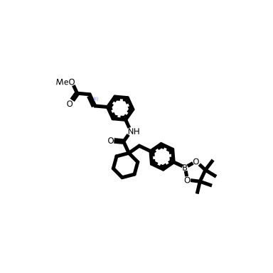 COC(=O)/C=C/c1cccc(NC(=O)C2(Cc3ccc(B4OC(C)(C)C(C)(C)O4)cc3)CCCCC2)c1